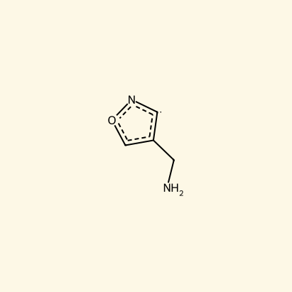 NCc1[c]noc1